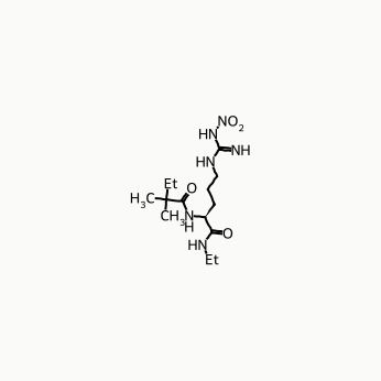 CCNC(=O)[C@H](CCCNC(=N)N[N+](=O)[O-])NC(=O)C(C)(C)CC